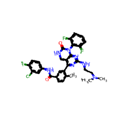 Cc1ccc(C(=O)Nc2ccc(F)c(Cl)c2)cc1-c1nc(NCCN(C)C)nc2c1CNC(=O)N2c1c(F)cccc1F